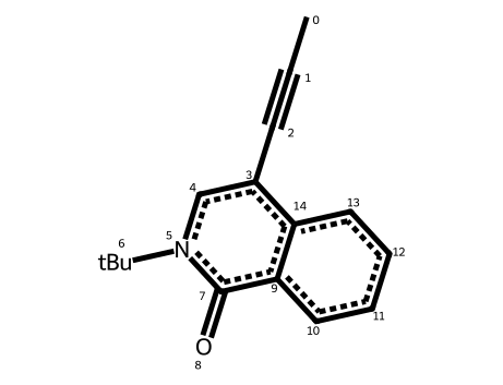 CC#Cc1cn(C(C)(C)C)c(=O)c2ccccc12